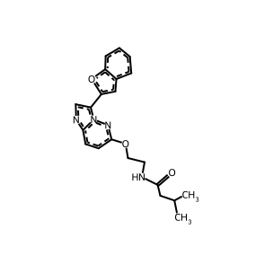 CC(C)CC(=O)NCCOc1ccc2ncc(-c3cc4ccccc4o3)n2n1